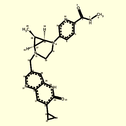 CNC(=O)c1ccc(N2CCN(Cc3cnc4cc(C5CC5)c(=O)[nH]c4c3)[C@H]3[C@@H](C)[C@H]32)cn1